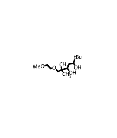 COCCOCC(C)(C)C(O)CC(O)C(C)(C)C